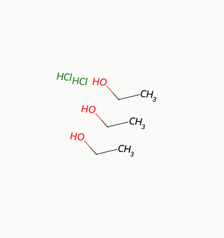 CCO.CCO.CCO.Cl.Cl